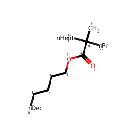 CCCCCCCCCCCCCCOC(=O)C(C)(CCC)CCCCCCC